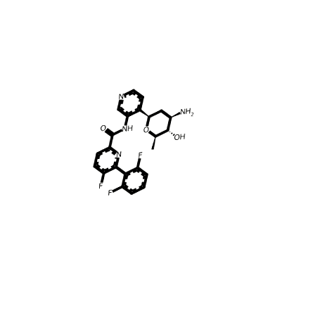 C[C@H]1O[C@@H](c2ccncc2NC(=O)c2ccc(F)c(-c3c(F)cccc3F)n2)C[C@@H](N)[C@@H]1O